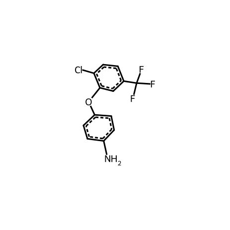 Nc1ccc(Oc2cc(C(F)(F)F)ccc2Cl)cc1